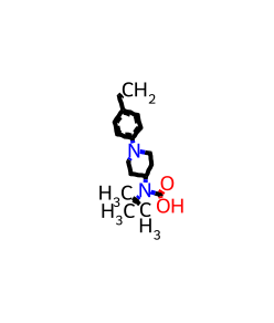 C=Cc1ccc(N2CCC(N(C(=O)O)C(C)(C)C)CC2)cc1